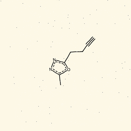 C#CCCc1nnc(C)o1